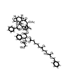 CC(=O)O[C@H]1C(=O)[C@]23C[C@H]2C[C@H]2OC[C@@]2(OC(C)=O)[C@H]3[C@H](OC(=O)c2ccccc2)[C@]2(O)C[C@H](OC(=O)[C@H](OC(=O)CCCCC(=O)CCNC(=O)OCc3ccccc3)[C@@H](NC(=O)CC(C)(C)C)c3ccccc3)C(C)=C1C2(C)C